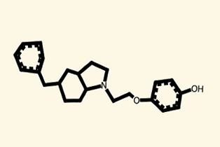 Oc1ccc(OCCN2CCC3CC(Cc4ccccc4)CCC32)cc1